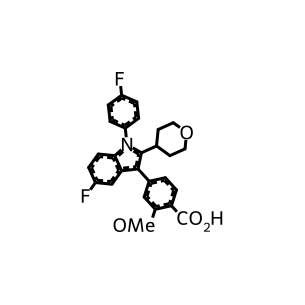 COc1cc(-c2c(C3CCOCC3)n(-c3ccc(F)cc3)c3ccc(F)cc23)ccc1C(=O)O